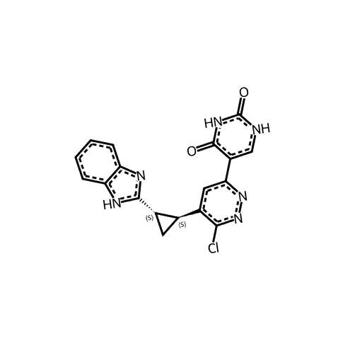 O=c1[nH]cc(-c2cc([C@H]3C[C@@H]3c3nc4ccccc4[nH]3)c(Cl)nn2)c(=O)[nH]1